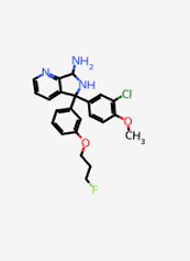 COc1ccc(C2(c3cccc(OCCCF)c3)NC(N)c3ncccc32)cc1Cl